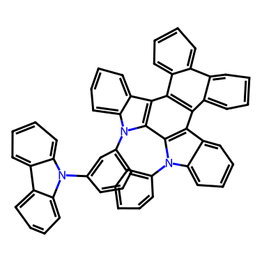 c1ccc(-n2c3ccccc3c3c4c5ccccc5c5ccccc5c4c4c5ccccc5n(-c5cccc(-n6c7ccccc7c7ccccc76)c5)c4c32)cc1